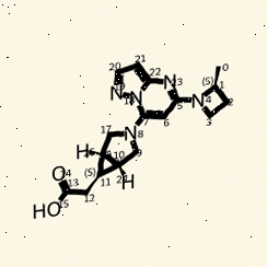 C[C@H]1CCN1c1cc(N2C[C@@H]3[C@@H](CC(=O)O)[C@@H]3C2)n2nccc2n1